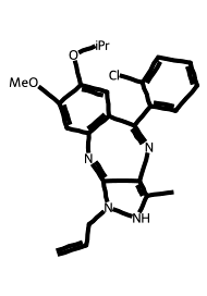 C=CCN1NC(C)=C2N=C(c3ccccc3Cl)c3cc(OC(C)C)c(OC)cc3N=C21